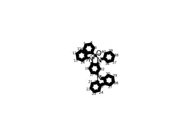 O=P1(c2ccccc2)N(c2ccccc2)c2ccc(-n3c4ccccc4c4ccccc43)cc2N1c1ccccc1